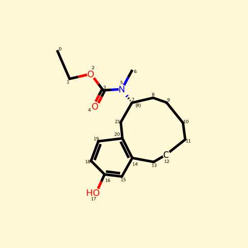 CCOC(=O)N(C)[C@@H]1CCCCCCc2cc(O)ccc2C1